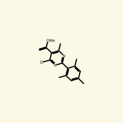 C=C(OC)c1c(C)nc(-c2c(C)cc(C)cc2C)nc1Cl